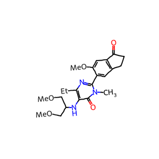 CCc1nc(-c2cc3c(cc2OC)C(=O)CC3)n(C)c(=O)c1NC(COC)COC